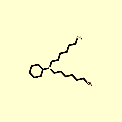 CCCCCCCP(CCCCCCC)C1CCCCC1